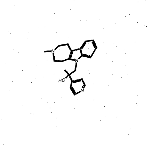 CN1CCc2c(n(CC(C)(O)c3ccncc3)c3ccccc23)CC1